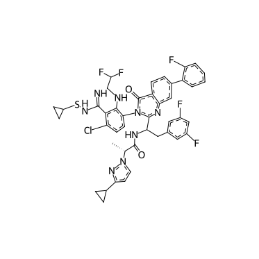 C[C@H](C(=O)NC(Cc1cc(F)cc(F)c1)c1nc2cc(-c3ccccc3F)ccc2c(=O)n1-c1ccc(Cl)c(C(=N)NSC2CC2)c1NCC(F)F)n1ccc(C2CC2)n1